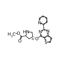 COC(=O)C1C[C@@H](Oc2nc(-c3ccccn3)nc3ccsc23)CN1